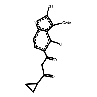 COc1c(C)sc2ccc(C(=O)CC(=O)C3CC3)c(Cl)c12